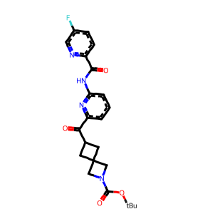 CC(C)(C)OC(=O)N1CC2(CC(C(=O)c3cccc(NC(=O)c4ccc(F)cn4)n3)C2)C1